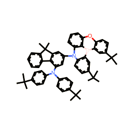 CC(C)(C)c1ccc(N(c2ccc(C(C)(C)C)cc2)c2cc(N3c4ccc(C(C)(C)C)cc4B4c5cc(C(C)(C)C)ccc5Oc5cccc3c54)cc3c2-c2ccccc2C3(C)C)cc1